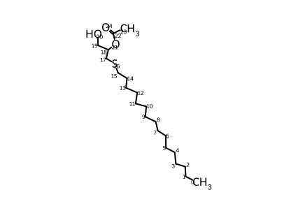 CCCCCCCCCCCCCCCCSCC(CO)OC(C)=O